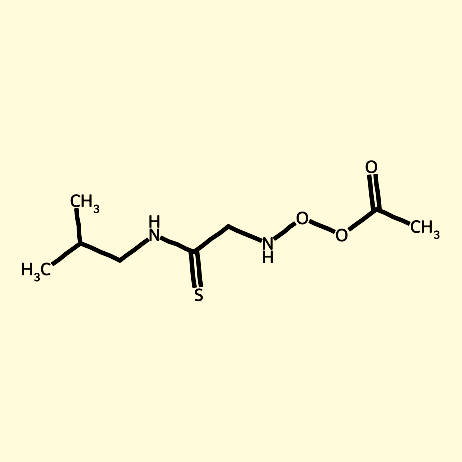 CC(=O)OONCC(=S)NCC(C)C